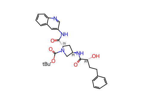 CC(C)(C)OC(=O)N1C[C@H](NC(=O)[C@H](O)CCc2ccccc2)C[C@H]1C(=O)Nc1cnc2ccccc2c1